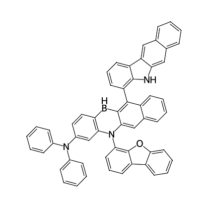 B1c2ccc(N(c3ccccc3)c3ccccc3)cc2N(c2cccc3c2oc2ccccc23)c2cc3ccccc3c(-c3cccc4c3[nH]c3cc5ccccc5cc34)c21